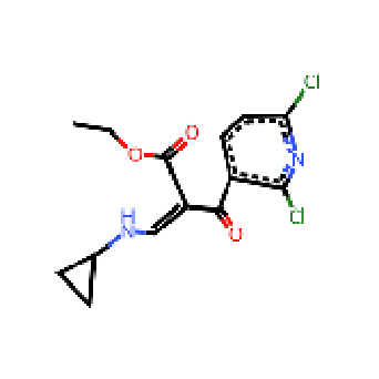 CCOC(=O)C(=CNC1CC1)C(=O)c1ccc(Cl)nc1Cl